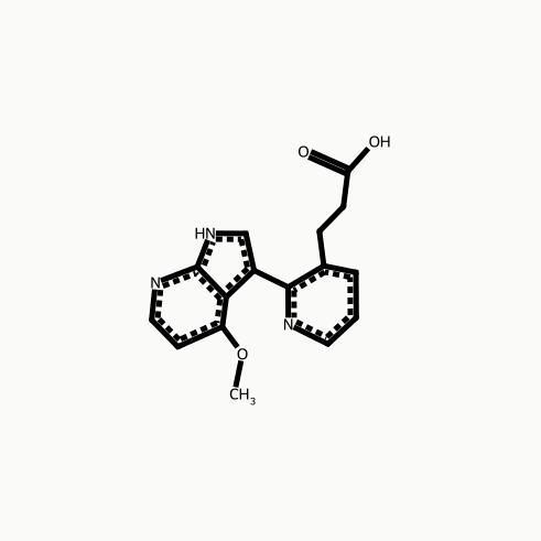 COc1ccnc2[nH]cc(-c3ncccc3CCC(=O)O)c12